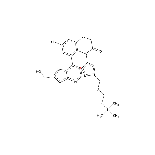 C[Si](C)(C)CCOCn1cc(N2C(=O)CCc3cc(Cl)cc(-c4ccnc5cc(CO)sc45)c32)cn1